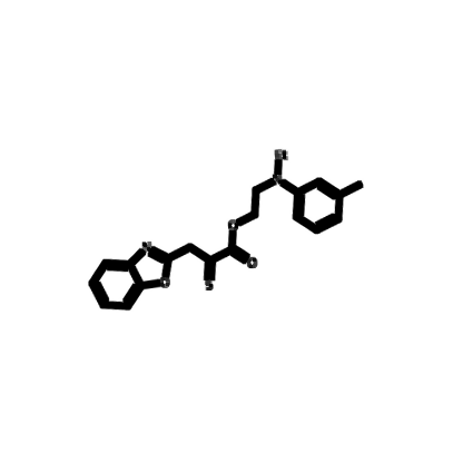 CCN(CCOC(=O)C(=S)Cc1nc2ccccc2o1)c1cccc(C)c1